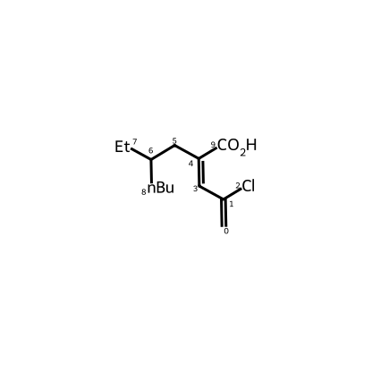 C=C(Cl)C=C(CC(CC)CCCC)C(=O)O